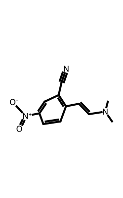 CN(C)/C=C/c1ccc([N+](=O)[O-])cc1C#N